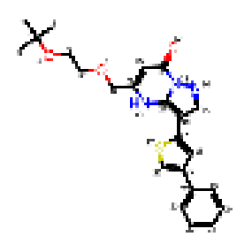 CC(C)(C)OCCOCc1cc(=O)n2ncc(-c3cc(-c4ccccc4)cs3)c2[nH]1